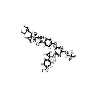 CCN(CC)CC1(S(=O)(=O)NC(=O)c2ccc(Nc3nc(NC4(c5ccc(Cl)cc5)CC4)nc(OCC(F)(F)F)n3)cc2)CC1